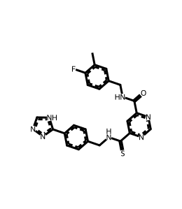 Cc1cc(CNC(=O)c2cc(C(=S)NCc3ccc(-c4nnc[nH]4)cc3)ncn2)ccc1F